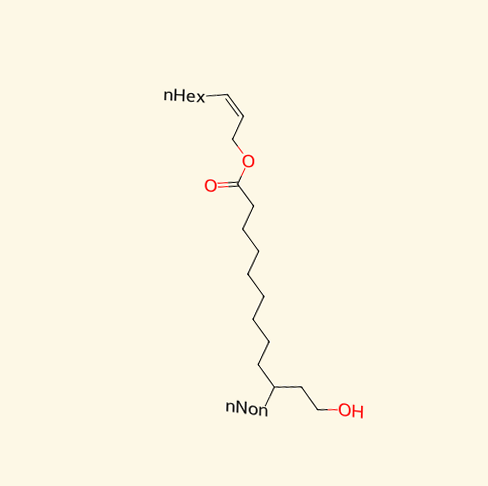 CCCCCC/C=C\COC(=O)CCCCCCCCC(CCO)CCCCCCCCC